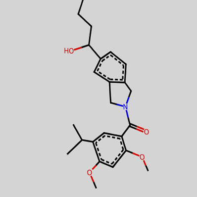 CCCC(O)c1ccc2c(c1)CN(C(=O)c1cc(C(C)C)c(OC)cc1OC)C2